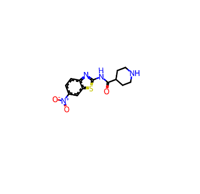 O=C(Nc1nc2ccc([N+](=O)[O-])cc2s1)C1CCNCC1